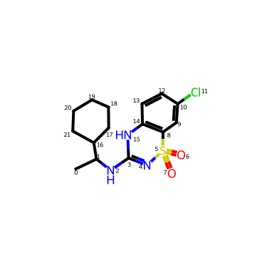 CC(NC1=NS(=O)(=O)c2cc(Cl)ccc2N1)C1CCCCC1